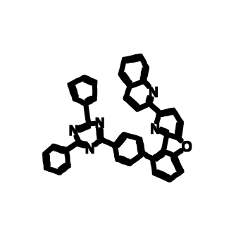 c1ccc(-c2nc(-c3ccccc3)nc(-c3ccc(-c4cccc5oc6ccc(-c7ccc8ccccc8n7)nc6c45)cc3)n2)cc1